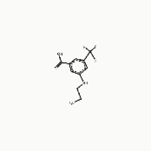 CCCNc1cc(C(=O)O)cc(C(F)(F)F)c1